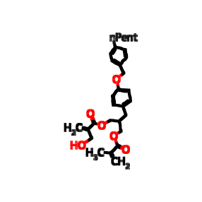 C=C(C)C(=O)OCC(COC(=O)C(=C)CO)Cc1ccc(OCc2ccc(CCCCC)cc2)cc1